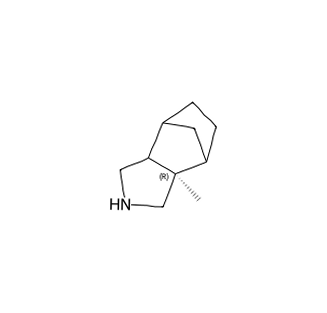 C[C@]12CNCC1C1CCC2C1